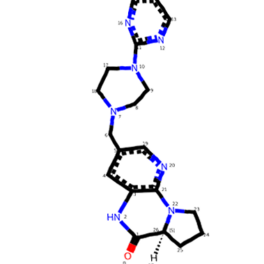 O=C1Nc2cc(CN3CCN(c4ncccn4)CC3)cnc2N2CCC[C@@H]12